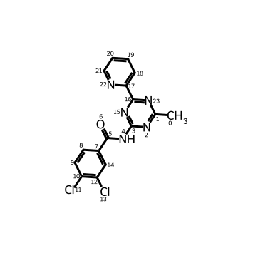 Cc1nc(NC(=O)c2ccc(Cl)c(Cl)c2)nc(-c2ccccn2)n1